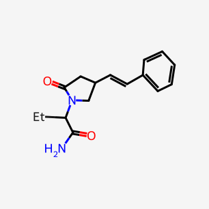 CCC(C(N)=O)N1CC(/C=C/c2ccccc2)CC1=O